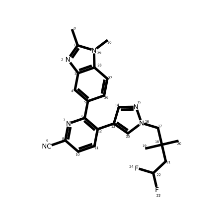 Cc1nc2cc(-c3nc(C#N)ccc3-c3cnn(CC(C)(C)CC(F)F)c3)ccc2n1C